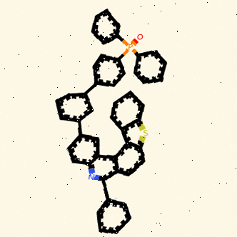 O=P(c1ccccc1)(c1ccccc1)c1ccc(-c2cccc(-c3ccc4nc(-c5ccccc5)c5ccc6sc7ccccc7c6c5c4c3)c2)cc1